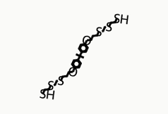 CC(C)(c1ccc(OCCCSCCSCCS)cc1)c1ccc(OCCCSCCSCCS)cc1